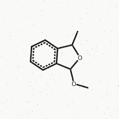 COC1OC(C)c2ccccc21